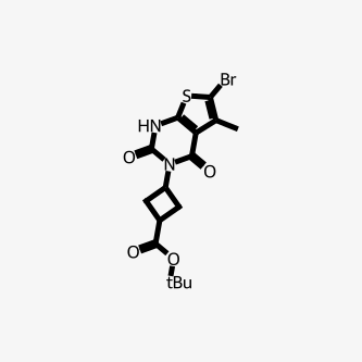 Cc1c(Br)sc2[nH]c(=O)n(C3CC(C(=O)OC(C)(C)C)C3)c(=O)c12